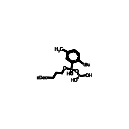 CCCCCCCCCCCCCO[PH](O)(OP(O)O)c1cc(C)ccc1C(C)(C)C